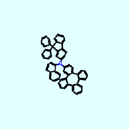 c1ccc(C2(c3ccccc3)c3ccccc3-c3ccc(N(c4ccc5c(c4)-c4ccccc4-c4ccccc4-c4ccccc4-5)c4cccc5ccccc45)cc32)cc1